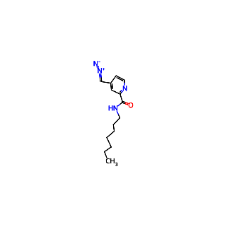 CCCCCCCNC(=O)c1cc(C=[N+]=[N-])ccn1